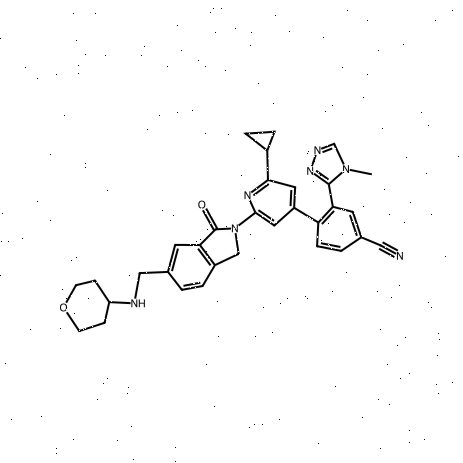 Cn1cnnc1-c1cc(C#N)ccc1-c1cc(C2CC2)nc(N2Cc3ccc(CNC4CCOCC4)cc3C2=O)c1